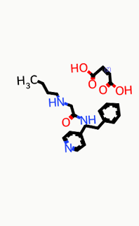 CCCCNCC(=O)NC(Cc1ccccc1)c1ccncc1.O=C(O)/C=C\C(=O)O